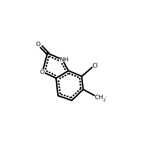 [CH2]c1ccc2oc(=O)[nH]c2c1Cl